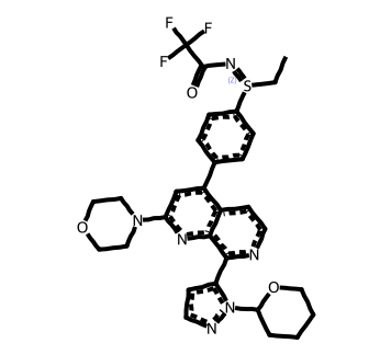 CC/S(=N/C(=O)C(F)(F)F)c1ccc(-c2cc(N3CCOCC3)nc3c(-c4ccnn4C4CCCCO4)nccc23)cc1